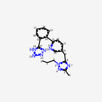 CCCn1nc(C)nc1Cc1ccc(-c2ccccc2-c2nnn[nH]2)nc1